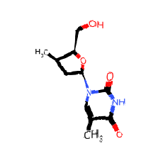 Cc1cn([C@H]2CC(C)[C@@H](CO)O2)c(=O)[nH]c1=O